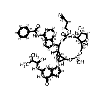 CC(C)C(=O)Nc1nc2c(ncn2[C@@H]2O[C@@H]3C(n4cnc5c(NC(=O)c6ccccc6)ncnc54)OP(=O)(OCCC#N)O[C@H]4[C@@H](F)CO[C@@H]4COP(O)O[C@@H]2[C@@H]3F)c(=O)[nH]1